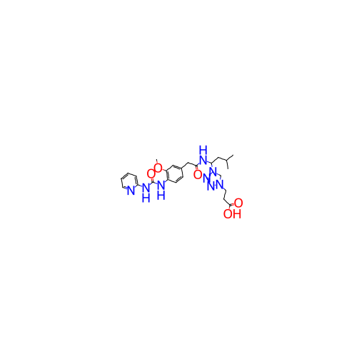 COc1cc(CC(=O)NC(CC(C)C)N2CN(CCC(=O)O)N=N2)ccc1NC(=O)Nc1ccccn1